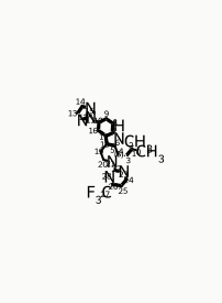 CC(C)=C[C@H]1c2[nH]c3ccc(-n4nccn4)cc3c2CCN1c1nccc(C(F)(F)F)n1